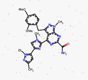 CCn1nc(C)cc1-c1cn(C)c(-c2nc(C(N)=O)nc3c2c(Cc2ccc(OC)cc2OC)nn3C)n1